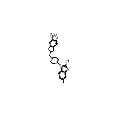 Cc1ccc2c(c1)nc(Cl)n2C1CCN(CC2Cc3ccc(N)cc3C2)CC1